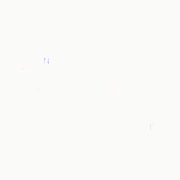 Cn1c(=O)ccc2cc(COc3[c]c(F)ccc3)ccc21